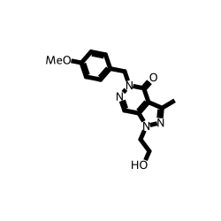 COc1ccc(Cn2ncc3c(c(C)nn3CCO)c2=O)cc1